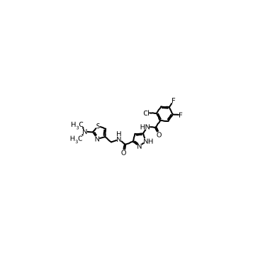 CN(C)c1nc(CNC(=O)c2cc(NC(=O)c3cc(F)c(F)cc3Cl)[nH]n2)cs1